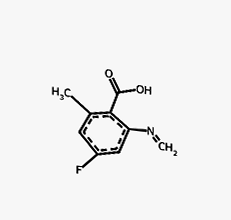 C=Nc1cc(F)cc(C)c1C(=O)O